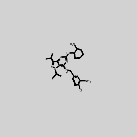 CC(C)c1nn(C(C)C)c2c(NCc3ccc(Cl)c(N)c3)nc(NC3CCCCC3N)nc12